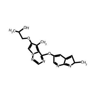 Cc1c(OCC(C)O)cn2ncnc(Oc3cnc4c(c3)=CC(C)N=4)c12